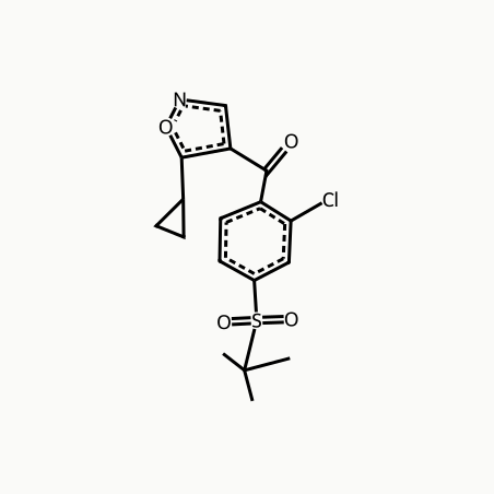 CC(C)(C)S(=O)(=O)c1ccc(C(=O)c2cnoc2C2CC2)c(Cl)c1